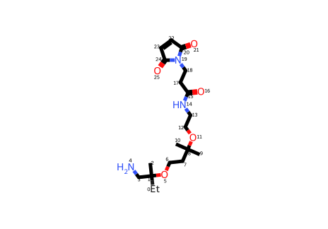 CCC(C)(CN)OCCC(C)(C)OCCNC(=O)CCN1C(=O)C=CC1=O